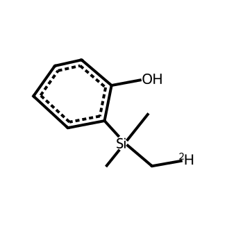 [2H]C[Si](C)(C)c1ccccc1O